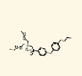 CCCCc1ccc(Cc2ccc(C(=O)CC(N)(COOCC)COOCC)cc2)cc1